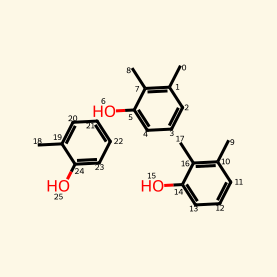 Cc1cccc(O)c1C.Cc1cccc(O)c1C.Cc1ccccc1O